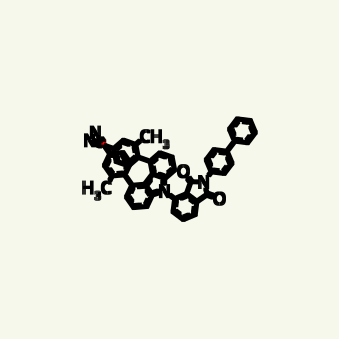 Cc1cc(C#N)ccc1-c1cccc2c1c1c(-c3ccc(C#N)cc3C)cccc1n2-c1cccc2c1C(=O)N(c1ccc(-c3ccccc3)cc1)C2=O